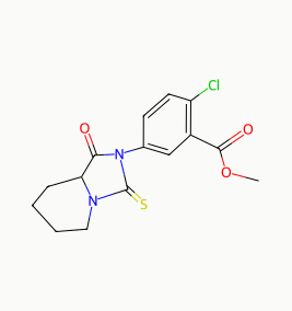 COC(=O)c1cc(N2C(=O)C3CCCCN3C2=S)ccc1Cl